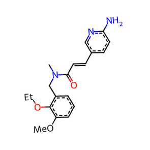 CCOc1c(CN(C)C(=O)C=Cc2ccc(N)nc2)cccc1OC